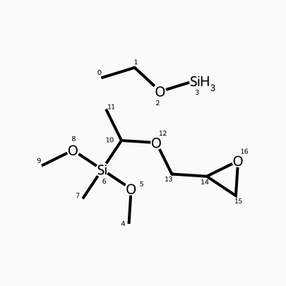 CCO[SiH3].CO[Si](C)(OC)C(C)OCC1CO1